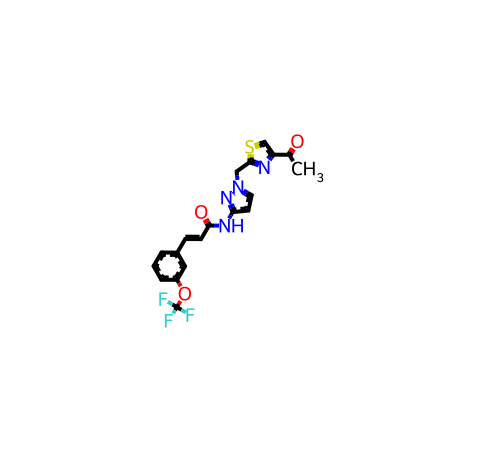 CC(=O)c1csc(Cn2ccc(NC(=O)C=Cc3cccc(OC(F)(F)F)c3)n2)n1